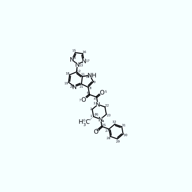 C[C@@H]1CN(C(=O)C(=O)c2c[nH]c3c(-n4nccn4)ccnc23)CCN1C(=O)c1ccccc1